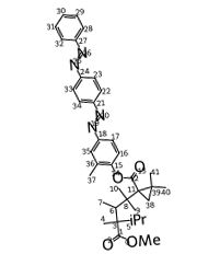 COC(=O)C(C)(C(C)C)C(C)C(C)(C)C1(C(=O)Oc2ccc(/N=N/c3ccc(/N=N/c4ccccc4)cc3)cc2C)CC1(C)C